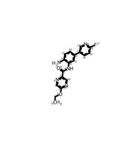 CCOc1cnc(C(=O)Nc2cc(-c3ccc(F)nc3)ccc2N)cn1